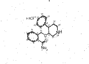 Cl.NC(=O)c1ccccc1COC1CNCCC1c1ccccc1